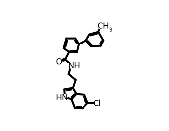 Cc1cccc(-c2cccc(C(=O)NCCc3c[nH]c4ccc(Cl)cc34)c2)c1